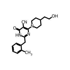 Cc1ccccc1Cc1nc(N2CCC(CCO)CC2)c(C#N)c(=O)[nH]1